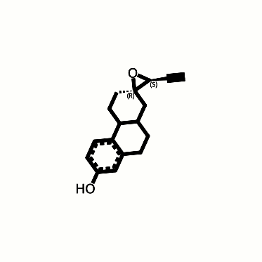 C#C[C@@H]1O[C@@]12CCC1c3ccc(O)cc3CCC1C2